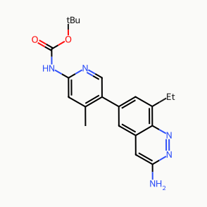 CCc1cc(-c2cnc(NC(=O)OC(C)(C)C)cc2C)cc2cc(N)nnc12